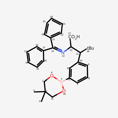 CC1(C)COB(c2cccc(C(C(N=C(c3ccccc3)c3ccccc3)C(=O)O)C(C)(C)C)c2)OC1